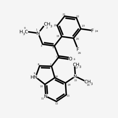 CN(C)C=C(C(=O)c1c[nH]c2nccc(N(C)C)c12)c1cccc(F)c1F